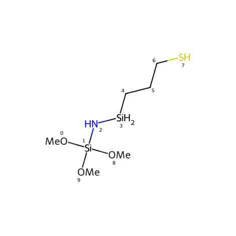 CO[Si](N[SiH2]CCCS)(OC)OC